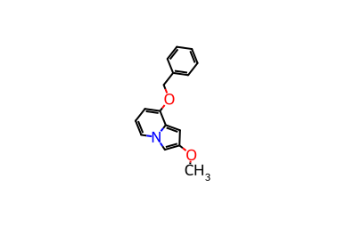 COc1cc2c(OCc3ccccc3)cccn2c1